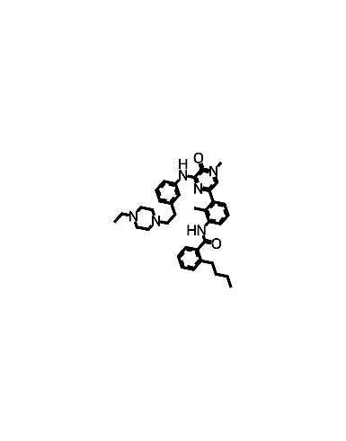 CCCCc1ccccc1C(=O)Nc1cccc(-c2cn(C)c(=O)c(Nc3cccc(CCN4CCN(CC)CC4)c3)n2)c1C